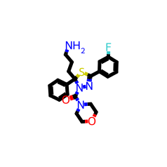 NCCCC1(c2ccccc2)SC(c2cccc(F)c2)=NN1C(=O)N1CCOCC1